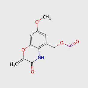 C=C1Oc2cc(OC)cc(COP=O)c2NC1=O